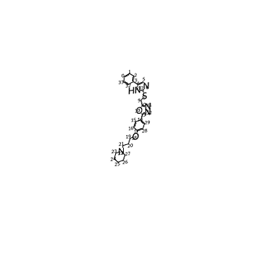 c1ccc(-c2cnc(SCc3nnc(-c4ccc(OCCCN5CCCCC5)cc4)o3)[nH]2)cc1